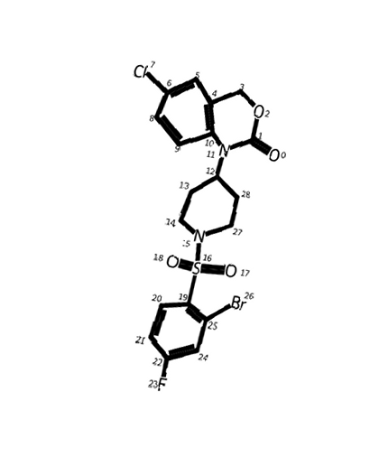 O=C1OCc2cc(Cl)ccc2N1C1CCN(S(=O)(=O)c2ccc(F)cc2Br)CC1